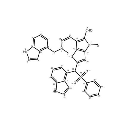 CN(Cc1cccc2[nH]ncc12)/N=C\c1c(C=O)n(C)c2nc(C(c3cccc4[nH]ncc34)S(=O)(=O)c3ccccc3)sc12